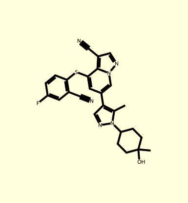 Cc1c(-c2cc(Sc3ccc(F)cc3C#N)c3c(C#N)cnn3c2)cnn1C1CCC(C)(O)CC1